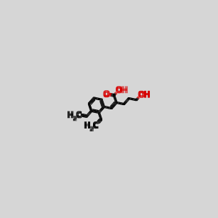 C=Cc1cccc(C=C(CCCO)C(=O)O)c1C=C